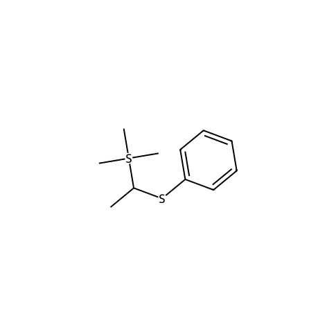 CC(Sc1ccccc1)S(C)(C)C